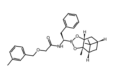 Cc1cccc(COCC(=O)N[C@@H](Cc2ccccc2)B2O[C@@H]3C[C@@H]4C[C@@H](C4(C)C)[C@]3(C)O2)c1